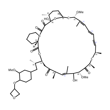 COC1CC(C[C@H](C)[C@@H]2CC(=O)[C@H](C)/C=C(\C)C(O)[C@@H](OC)C(=O)[C@H](C)C[C@H](C)/C=C/C=C/C=C(\C)[C@@H](OC)C[C@@H]3CC[C@@H](C)[C@@](O)(O3)C(=O)C(=O)N3CCCC[C@H]3C(=O)O2)CCC1OC1COC1